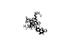 Cc1cc(=O)oc2cc(NC(=O)[C@H](CCCCN)NC(=O)[C@H](CC(C)C)NC(=O)[C@@H](C)N)ccc12